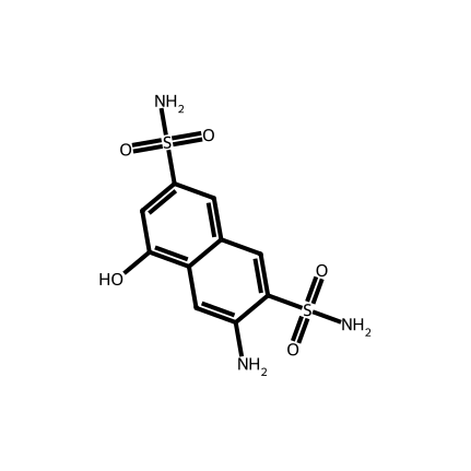 Nc1cc2c(O)cc(S(N)(=O)=O)cc2cc1S(N)(=O)=O